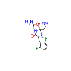 N#CC1(N(CC(N)=O)C(=O)[CH]Cc2c(F)cccc2F)CCNCC1